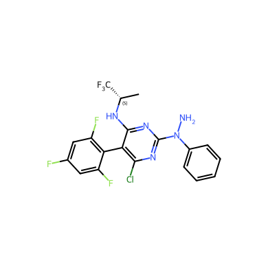 C[C@H](Nc1nc(N(N)c2ccccc2)nc(Cl)c1-c1c(F)cc(F)cc1F)C(F)(F)F